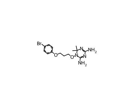 CC1(C)N=C(N)N=C(N)N1OCCCOc1ccc(Br)cc1